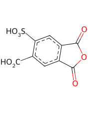 O=C1OC(=O)c2cc(S(=O)(=O)O)c(C(=O)O)cc21